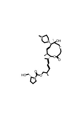 C/C(=C\C=C\[C@@H](C)COC(=O)N1CCC[C@@H]1CO)[C@H]1OC(=O)CCCC[C@](C)(O)[C@@H](N2CCN(C)CC2)/C=C/[C@@H]1C